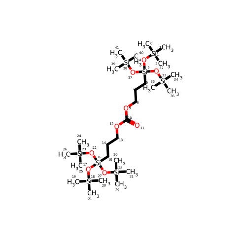 C[Si](C)(C)O[Si](CCCOC(=O)OCCC[Si](O[Si](C)(C)C)(O[Si](C)(C)C)O[Si](C)(C)C)(O[Si](C)(C)C)O[Si](C)(C)C